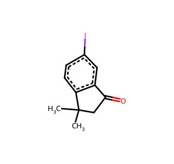 CC1(C)CC(=O)c2cc(I)ccc21